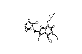 CCn1c(=O)c2c(C)c(Cn3nc[nH]c3=O)sc2n(CCOC)c1=O